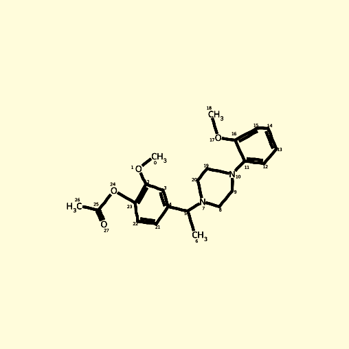 COc1cc(C(C)N2CCN(c3ccccc3OC)CC2)ccc1OC(C)=O